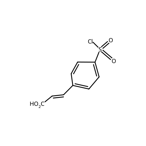 O=C(O)/C=C/c1ccc(S(=O)(=O)Cl)cc1